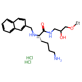 CCOCC(O)CNC(=O)[C@H](CCCCN)NCc1ccc2ccccc2c1.Cl.Cl